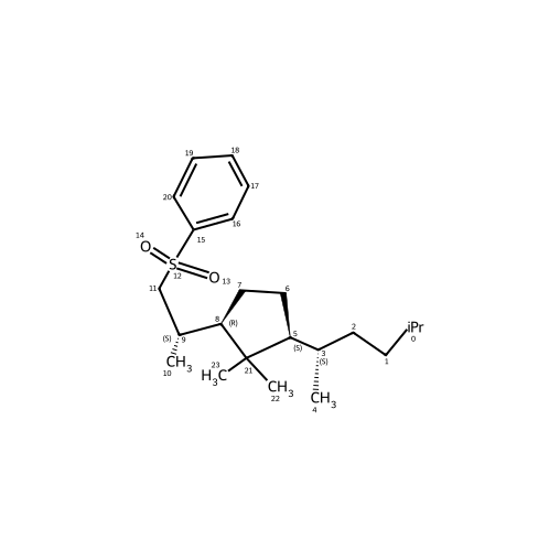 CC(C)CC[C@H](C)[C@@H]1CC[C@H]([C@H](C)CS(=O)(=O)c2ccccc2)C1(C)C